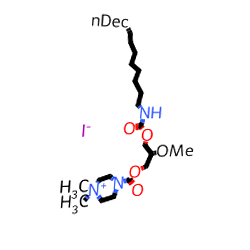 CCCCCCCCCCCCCCCCCCNC(=O)OCC(COC(=O)N1CC[N+](C)(C)CC1)OC.[I-]